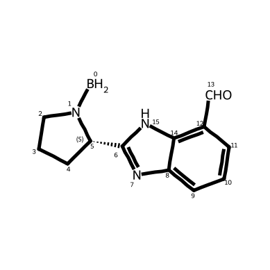 BN1CCC[C@H]1c1nc2cccc(C=O)c2[nH]1